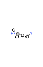 N#Cc1cccc(-c2ccc(-c3ccc(Nc4ccccc4)c4ccccc34)cc2)c1